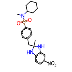 CN(C1CCCCC1)S(=O)(=O)c1ccc(CC2(C)Nc3ccc([N+](=O)[O-])cc3N2)cc1